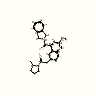 CC1CCCN1C(=O)Cc1ccc2nc(N)nc(C(=O)N3Cc4ccccc4C3)c2c1